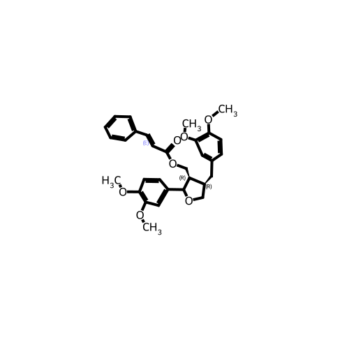 COc1ccc(C[C@H]2COC(c3ccc(OC)c(OC)c3)[C@H]2COC(=O)/C=C/c2ccccc2)cc1OC